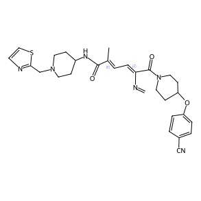 C=N/C(=C\C=C(/C)C(=O)NC1CCN(Cc2nccs2)CC1)C(=O)N1CCC(Oc2ccc(C#N)cc2)CC1